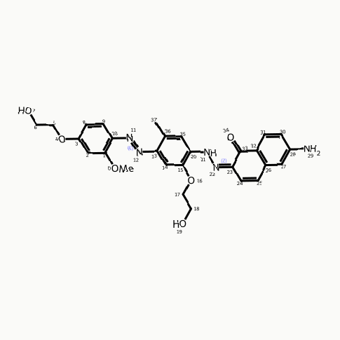 COc1cc(OCCO)ccc1/N=N/c1cc(OCCO)c(N/N=C2/C=Cc3cc(N)ccc3C2=O)cc1C